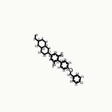 CCC1CCC2CC(c3cc(F)c(-c4ccc(OCc5ccccc5)cc4)c(F)c3)CCC2C1